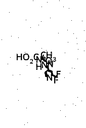 C[C@H](NC(=O)O)c1nc(-c2ccnc(C(F)F)c2)no1